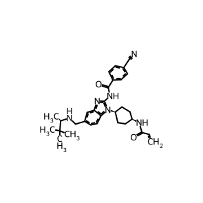 C=CC(=O)N[C@H]1CC[C@@H](n2c(NC(=O)c3ccc(C#N)cc3)nc3cc(CN[C@@H](C)C(C)(C)C)ccc32)CC1